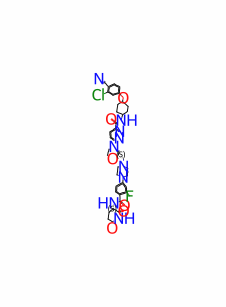 N#Cc1ccc(OC2CCC(NC(=O)c3ccc(N4CCO[C@@H](CN5CCN(c6ccc(C(=O)N[C@H]7CCC(=O)NC7=O)c(F)c6)CC5)C4)nn3)CC2)cc1Cl